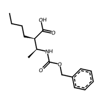 CCCC[C@@H](C(=O)O)[C@H](C)NC(=O)OCc1ccccc1